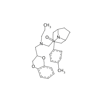 CCCN(CC1CC2CCC(C1)N2C(=O)c1ccc(C)cc1)CC1COc2ccccc2O1